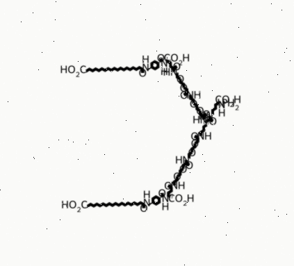 O=C(O)CCCCCCCCCCCCCCCCCCC(=O)NC[C@H]1CC[C@H](C(=O)N[C@@H](CCC(=O)NCCOCCOCC(=O)NCCOCCOCC(=O)NCCCC[C@H](NC(=O)COCCOCCNC(=O)COCCOCCNC(=O)CC[C@H](NC(=O)[C@H]2CC[C@H](CNC(=O)CCCCCCCCCCCCCCCCCCC(=O)O)CC2)C(=O)O)C(=O)NCCCC[C@H](NP)C(=O)O)C(=O)O)CC1